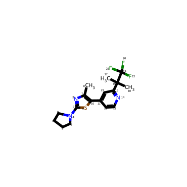 Cc1nc(N2CCCC2)sc1-c1ccnc(C(C)(C)C(F)(F)F)c1